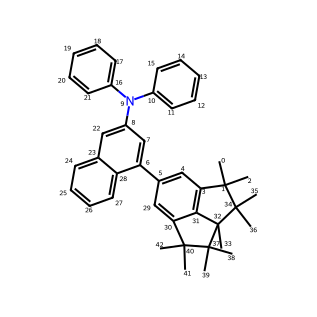 CC1(C)c2cc(-c3cc(N(c4ccccc4)c4ccccc4)cc4ccccc34)cc3c2C(C)(C1(C)C)C(C)(C)C3(C)C